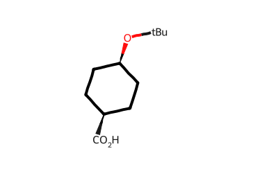 CC(C)(C)O[C@H]1CC[C@@H](C(=O)O)CC1